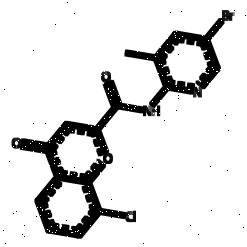 Cc1cc(Br)cnc1NC(=O)c1cc(=O)c2cccc(Cl)c2o1